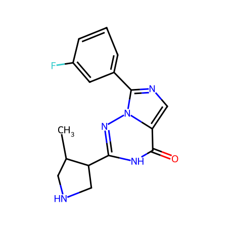 CC1CNCC1c1nn2c(-c3cccc(F)c3)ncc2c(=O)[nH]1